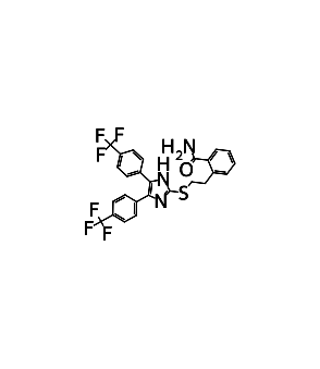 NC(=O)c1ccccc1CCSc1nc(-c2ccc(C(F)(F)F)cc2)c(-c2ccc(C(F)(F)F)cc2)[nH]1